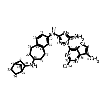 Cc1csc2c(-n3nc(Nc4ccc5c(c4)CCC(NC4CC6CCC4C6)CC5)nc3N)nc(Cl)nc12